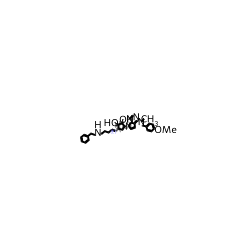 COc1ccc(CN(C)c2ncnc3c2ccn3[C@@H]2C[C@H](/C=C/CCCNCCc3ccccc3)[C@@H](O)[C@H]2O)cc1